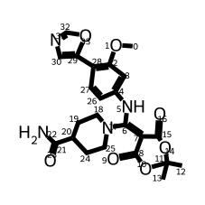 COc1cc(NC(=C2C(=O)OC(C)(C)OC2=O)N2CCC(C(N)=O)CC2)ccc1-c1cnco1